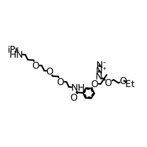 CCOCCOC(C)(COc1cccc(C(=O)NCCOCCOCCOCCCNC(C)C)c1)N=[N+]=[N-]